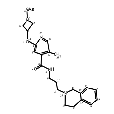 CSN1CC(Nc2cc(C(=O)NCCCN3CCc4ccccc4C3)c(C)cn2)C1